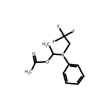 CC(=O)OC(C)N(CC(F)(F)F)c1ccccc1